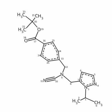 CC(C)n1nccc1CN(C#N)Cc1ccc(C(=O)OC(C)(C)C)cc1